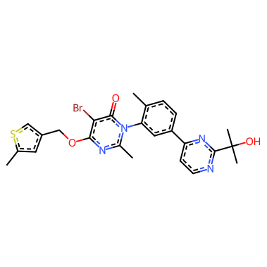 Cc1cc(COc2nc(C)n(-c3cc(-c4ccnc(C(C)(C)O)n4)ccc3C)c(=O)c2Br)cs1